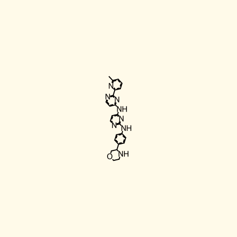 Cc1cccc(-c2nccc(Nc3ccnc(Nc4ccc(C5COCCN5)cc4)n3)n2)n1